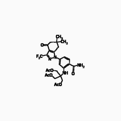 CC(=O)OCC(COC(C)=O)(COC(C)=O)Nc1cc(-n2nc(C(F)(F)F)c3c2CC(C)(C)CC3=O)ccc1C(N)=O